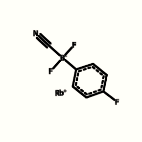 N#C[B-](F)(F)c1ccc(F)cc1.[Rb+]